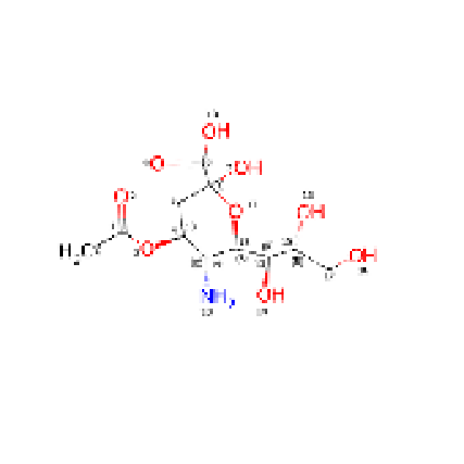 CC(=O)O[C@H]1CC(O)(C(=O)O)O[C@@H]([C@H](O)[C@H](O)CO)[C@@H]1N